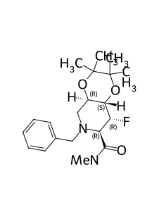 CNC(=O)[C@@H]1[C@@H](F)[C@H]2OC(C)(C)C(C)(C)O[C@@H]2CN1Cc1ccccc1